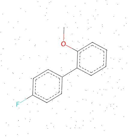 COc1ccccc1-c1c[c]c(F)cc1